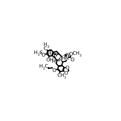 C=CCOc1c(C)c2c(c3c1C[C@H]1C4c5c(cc(C)c(OC)c5O)CC([C@H](C#N)N1C3CNC(=O)OC)N4C)OCO2